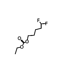 CCOC(=O)OCCCCC(F)F